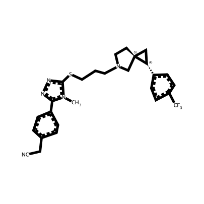 Cn1c(SCCCN2CC[C@]3(C[C@@H]3c3ccc(C(F)(F)F)cc3)C2)nnc1-c1ccc(CC#N)cc1